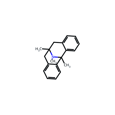 CN1C2(C)Cc3ccccc3C1(C)c1ccccc1C2